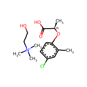 C[N+](C)(C)CCO.Cc1cc(Cl)ccc1O[C@H](C)C(=O)O